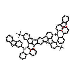 CC(C)(C)c1ccc2c(c1)c1c(N(c3ccc4c(c3)sc3ccccc34)c3ccccc3-c3ccccc3)ccc3c4cc5c(cc4n2c31)c1ccc(N(c2ccc3c(c2)sc2ccccc23)c2ccccc2-c2ccccc2)c2c3cc(C(C)(C)C)ccc3n5c12